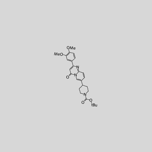 COc1ccc(-c2cc(=O)n3cc(C4CCN(C(=O)OC(C)(C)C)CC4)ccc3n2)cc1OC